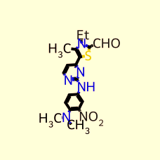 CCN1C(C)=C(c2ccnc(Nc3ccc(N(C)C)c([N+](=O)[O-])c3)n2)SC1C=O